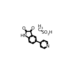 CS(=O)(=O)O.O=C1Nc2ccc(-c3ccncc3)cc2C1=O